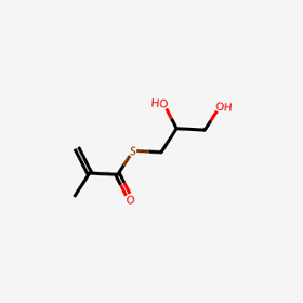 C=C(C)C(=O)SCC(O)CO